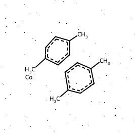 Cc1ccc(C)cc1.Cc1ccc(C)cc1.[Co]